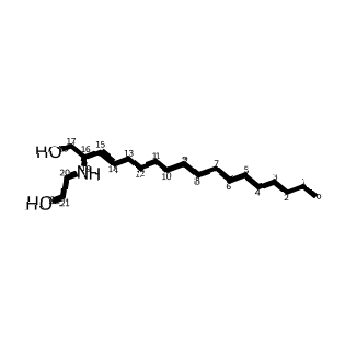 CCCCCCCCCCCCCC/C=C/C(CO)NCCO